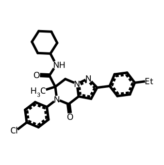 CCc1ccc(-c2cc3n(n2)CC(C)(C(=O)NC2CCCCC2)N(c2ccc(Cl)cc2)C3=O)cc1